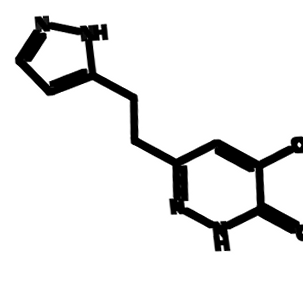 O=c1[nH]nc(CCc2ccn[nH]2)cc1O